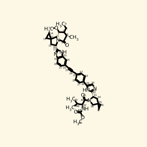 CCC(COC)[C@H](C)C(=O)N1CC2(CC2)C[C@H]1c1nc2ccc(C#Cc3ccc(-c4cnc([C@@H]5CC6(CC6)CN5C(=O)[C@@H](NC(=O)OC)C(C)C)[nH]4)cc3)cc2[nH]1